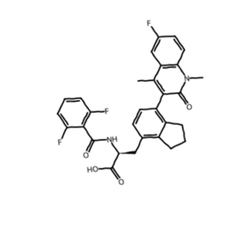 Cc1c(-c2ccc(C[C@H](NC(=O)c3c(F)cccc3F)C(=O)O)c3c2CCC3)c(=O)n(C)c2ccc(F)cc12